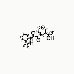 CC(C)(C)c1ccccc1NC(=O)C(=O)N1CCOCC(C(=O)O)C1